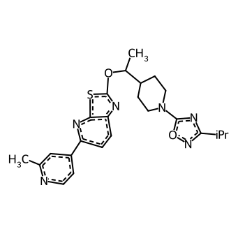 Cc1cc(-c2ccc3nc(OC(C)C4CCN(c5nc(C(C)C)no5)CC4)sc3n2)ccn1